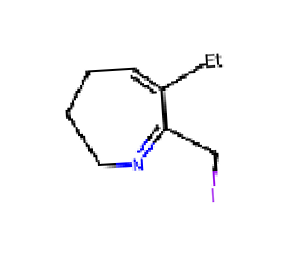 CCC1=CCCCN=C1CI